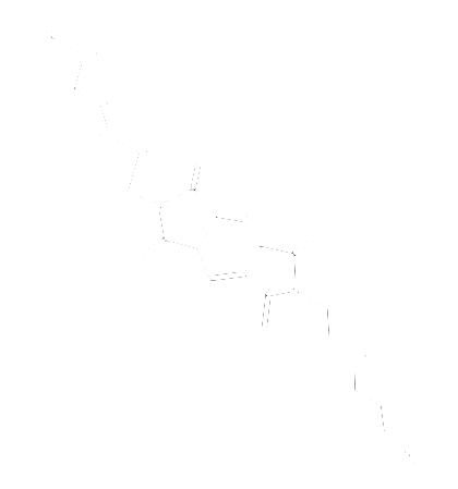 O=c1c2cc3c(=O)n(CCOCCO[N+](=O)[O-])c(=O)c3cc2c(=O)n1CCOCCO[N+](=O)[O-]